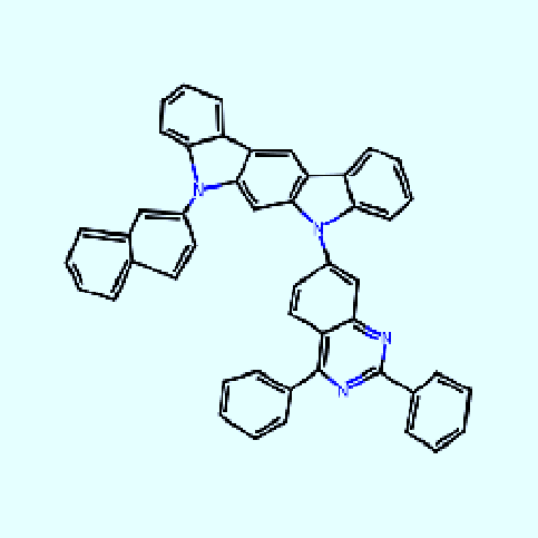 c1ccc(-c2nc(-c3ccccc3)c3ccc(-n4c5ccccc5c5cc6c7ccccc7n(-c7ccc8ccccc8c7)c6cc54)cc3n2)cc1